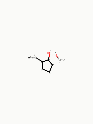 CCCCCC1CCCC1O.O=CO